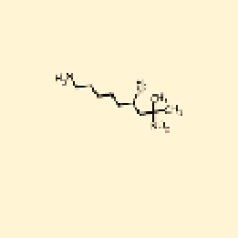 CC(C)(CC(N)CCCCCN)[N+](=O)[O-]